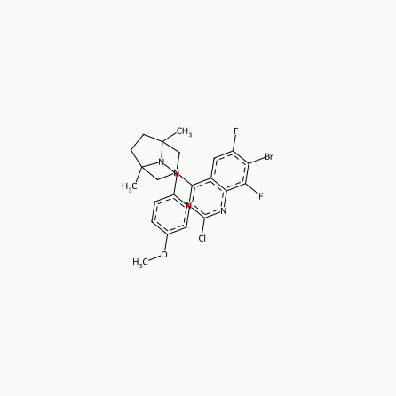 COc1ccc(CN2C3(C)CCC2(C)CN(c2nc(Cl)nc4c(F)c(Br)c(F)cc24)C3)cc1